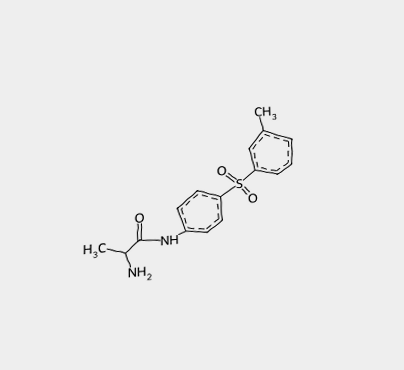 Cc1cccc(S(=O)(=O)c2ccc(NC(=O)C(C)N)cc2)c1